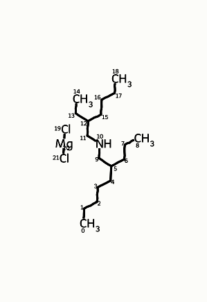 CCCCCC(CCC)CNCC(CC)CCCC.[Cl][Mg][Cl]